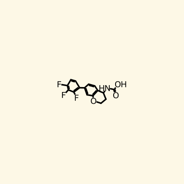 O=C(O)NC1CCOc2cc(-c3ccc(F)c(F)c3F)ccc21